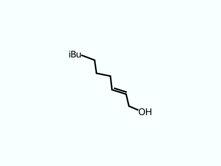 CCC(C)CCCC=CCO